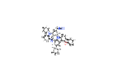 N#Cc1c(-n2c3ccccc3c3ccccc32)cc(C=N)cc1-n1c2ccc(-c3ccccc3)cc2c2c3oc4ccccc4c3ccc21